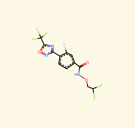 O=C(NOCC(F)F)c1ccc(-c2noc(C(F)(F)F)n2)c(F)c1